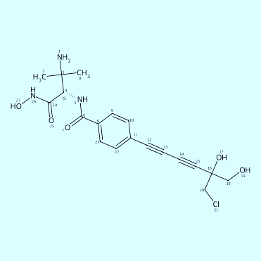 CC(C)(N)[C@H](NC(=O)c1ccc(C#CC#CC(O)(CO)CCl)cc1)C(=O)NO